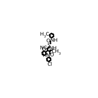 CC1=C(C(=O)Nc2ccc(Cl)cc2)C(c2ccccc2C)C(C#N)=C(SCC(=O)Nc2cccc(C)c2)N1